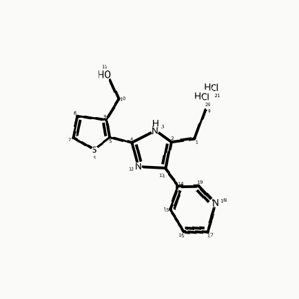 CCc1[nH]c(-c2sccc2CO)nc1-c1cccnc1.Cl.Cl